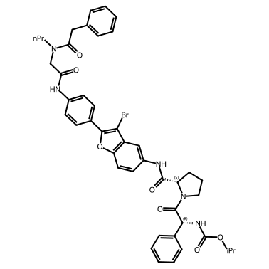 CCCN(CC(=O)Nc1ccc(-c2oc3ccc(NC(=O)[C@@H]4CCCN4C(=O)[C@H](NC(=O)OC(C)C)c4ccccc4)cc3c2Br)cc1)C(=O)Cc1ccccc1